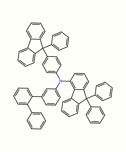 c1ccc(-c2ccccc2-c2cccc(N(c3ccc(C4(c5ccccc5)c5ccccc5-c5ccccc54)cc3)c3cccc4c3-c3ccccc3C4(c3ccccc3)c3ccccc3)c2)cc1